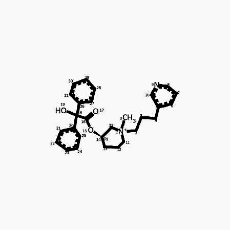 C[N+]1(CCCc2cccnc2)CCC[C@@H](OC(=O)C(O)(c2ccccc2)c2ccccc2)C1